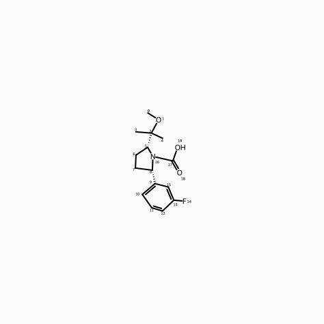 COC(C)(C)[C@H]1CC[C@@H](c2cccc(F)c2)N1C(=O)O